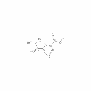 COC(=O)c1cccc(C(=O)C(Br)Br)c1